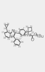 CC(C)(C)OC(=O)NC1(c2ccc(-c3nc4c(C5CC5)cccn4c3-c3ccccc3)cc2)CCC1